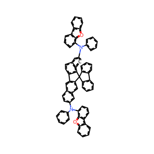 c1ccc(N(c2ccc3cc4c(cc3c2)C2(c3ccccc3-c3ccccc32)c2c-4ccc3cc(N(c4ccccc4)c4cccc5c4oc4ccccc45)ccc23)c2cccc3c2oc2ccccc23)cc1